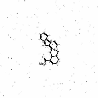 COC(=O)C1=COCC2Cn3ccc4c5ccccc5nc-4c3CC12